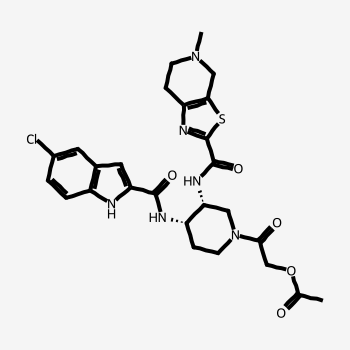 CC(=O)OCC(=O)N1CC[C@H](NC(=O)c2cc3cc(Cl)ccc3[nH]2)[C@H](NC(=O)c2nc3c(s2)CN(C)CC3)C1